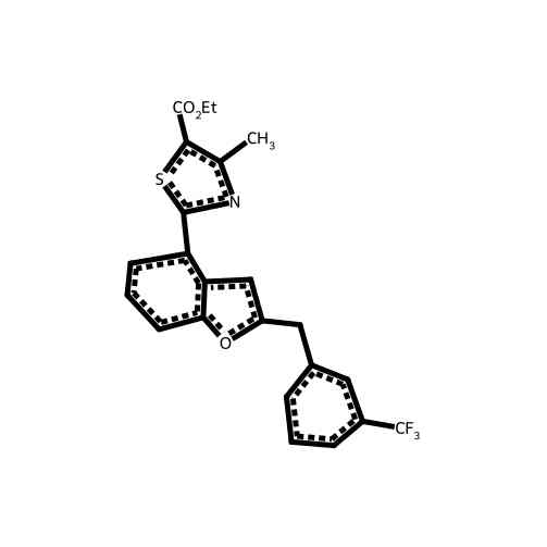 CCOC(=O)c1sc(-c2cccc3oc(Cc4cccc(C(F)(F)F)c4)cc23)nc1C